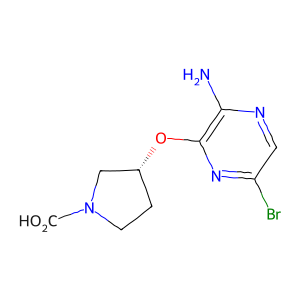 Nc1ncc(Br)nc1O[C@@H]1CCN(C(=O)O)C1